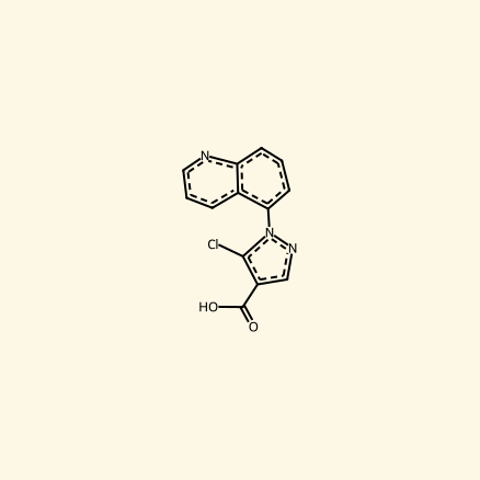 O=C(O)c1cnn(-c2cccc3ncccc23)c1Cl